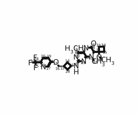 COC1(C2C(=O)Nc3c(C)nc(N[C@H]4C[C@H](COc5ccc(C(F)(F)F)nc5)C4)nc3N2C)CCC1